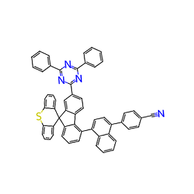 N#Cc1ccc(-c2ccc(-c3cccc4c3-c3ccc(-c5nc(-c6ccccc6)nc(-c6ccccc6)n5)cc3C43c4ccccc4Sc4ccccc43)c3ccccc23)cc1